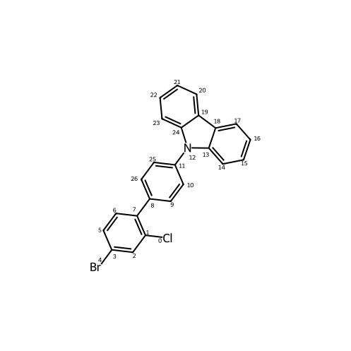 Clc1cc(Br)ccc1-c1ccc(-n2c3ccccc3c3ccccc32)cc1